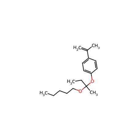 C=C(C)c1ccc(OC(C)(CC)OCCCCC)cc1